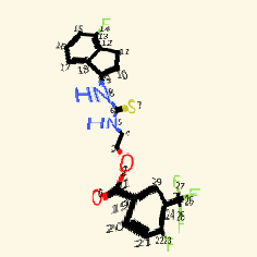 O=C(OCCNC(=S)NC1CCc2c(F)cccc21)c1ccc(F)c(C(F)(F)F)c1